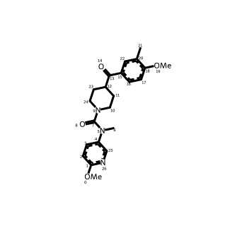 COc1ccc(N(C)C(=O)N2CCC(C(=O)c3ccc(OC)c(C)c3)CC2)cn1